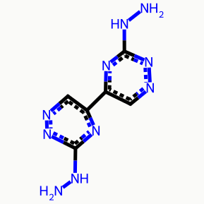 NNc1nncc(-c2cnnc(NN)n2)n1